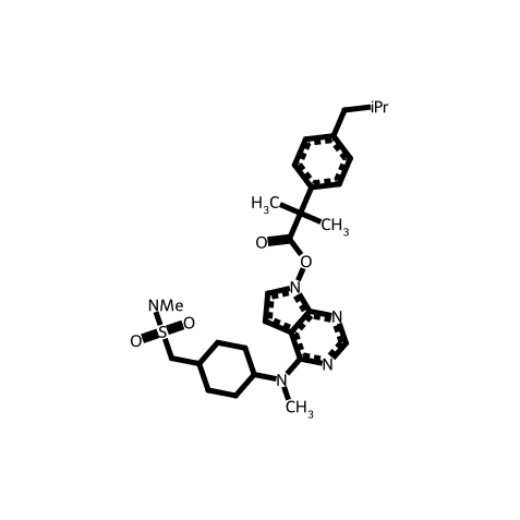 CNS(=O)(=O)CC1CCC(N(C)c2ncnc3c2ccn3OC(=O)C(C)(C)c2ccc(CC(C)C)cc2)CC1